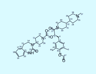 Cc1cc(C[C@@H](OC(=O)N2CCC(N3CCc4ccccc4NC3=O)CC2)C(=O)N2CCC(C3CCN(C)CC3)CC2)cc(C)c1OC=O